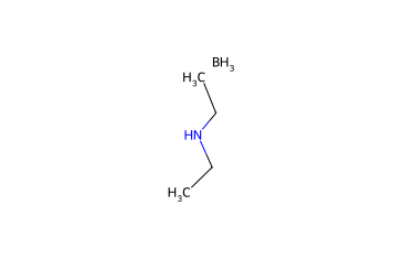 B.CCNCC